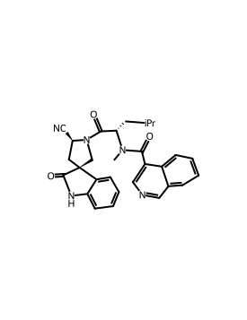 CC(C)C[C@@H](C(=O)N1C[C@]2(C[C@H]1C#N)C(=O)Nc1ccccc12)N(C)C(=O)c1cncc2ccccc12